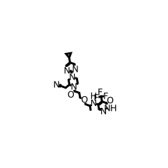 CC(COCCC(=O)N1CCN(c2ncc(C3CC3)cn2)CC1CC#N)Nc1cn[nH]c(=O)c1C(F)(F)F